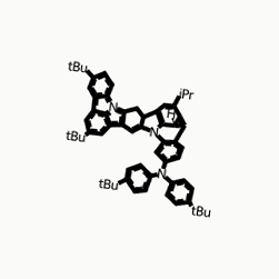 CC(C)C1=CC2=C3[C@H]4C1=C4c1ccc(N(c4ccc(C(C)(C)C)cc4)c4ccc(C(C)(C)C)cc4)cc1N3C1=Cc3c(n4c5ccc(C(C)(C)C)cc5c5cc(C(C)(C)C)cc3c54)CC12